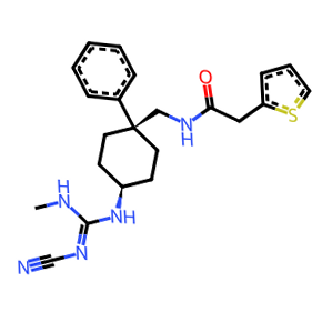 CN/C(=N\C#N)N[C@H]1CC[C@](CNC(=O)Cc2cccs2)(c2ccccc2)CC1